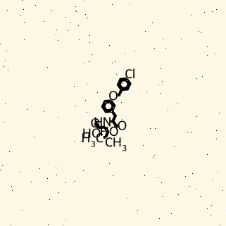 CC(C)CC(NC(Cc1cccc(OCc2ccc(Cl)cc2)c1)C(=O)O)C(=O)O